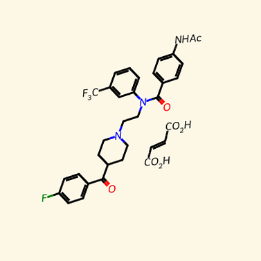 CC(=O)Nc1ccc(C(=O)N(CCN2CCC(C(=O)c3ccc(F)cc3)CC2)c2cccc(C(F)(F)F)c2)cc1.O=C(O)C=CC(=O)O